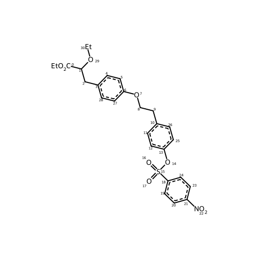 CCOC(=O)C(Cc1ccc(OCCc2ccc(OS(=O)(=O)c3ccc([N+](=O)[O-])cc3)cc2)cc1)OCC